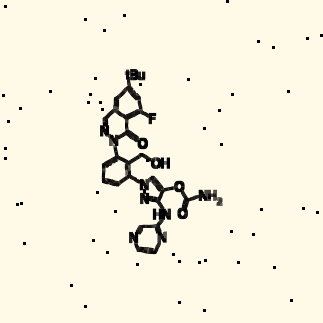 CC(C)(C)c1cc(F)c2c(=O)n(-c3cccc(-n4cc(OC(N)=O)c(Nc5cnccn5)n4)c3CO)ncc2c1